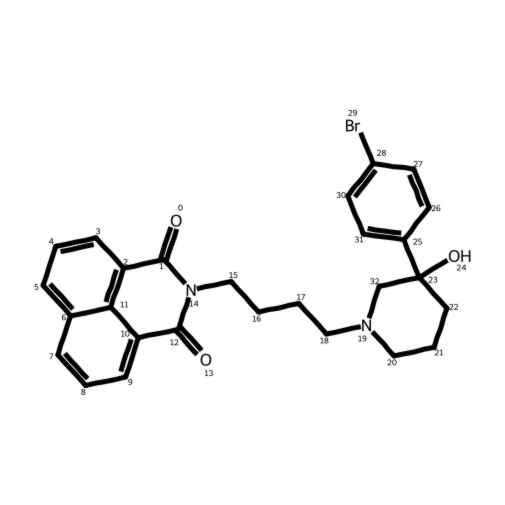 O=C1c2cccc3cccc(c23)C(=O)N1CCCCN1CCCC(O)(c2ccc(Br)cc2)C1